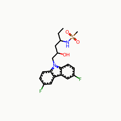 CCC(CC(O)Cn1c2ccc(F)cc2c2cc(F)ccc21)NS(C)(=O)=O